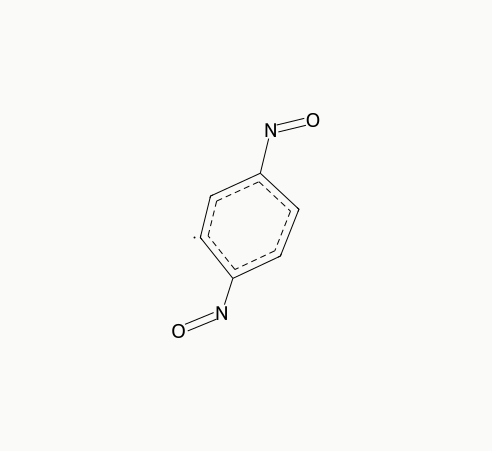 O=Nc1[c]cc(N=O)cc1